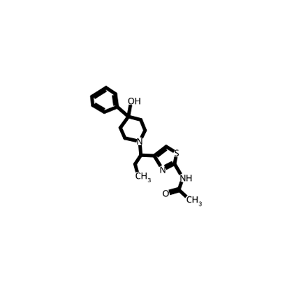 CCC(c1csc(NC(C)=O)n1)N1CCC(O)(c2ccccc2)CC1